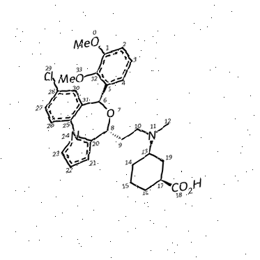 COc1cccc([C@H]2O[C@H](CCN(C)[C@@H]3CCC[C@H](C(=O)O)C3)c3cccn3-c3ccc(Cl)cc32)c1OC